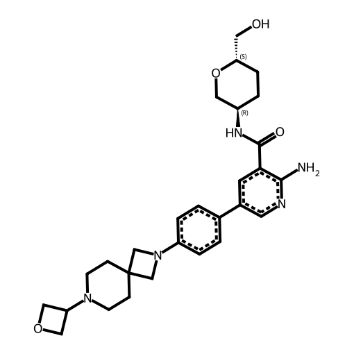 Nc1ncc(-c2ccc(N3CC4(CCN(C5COC5)CC4)C3)cc2)cc1C(=O)N[C@@H]1CC[C@@H](CO)OC1